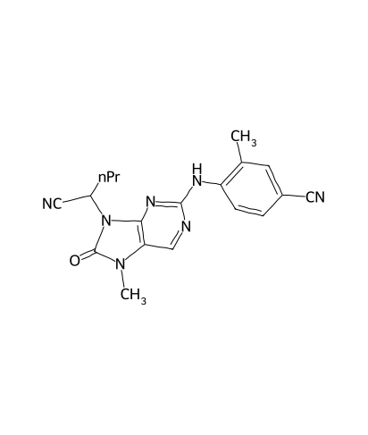 CCCC(C#N)n1c(=O)n(C)c2cnc(Nc3ccc(C#N)cc3C)nc21